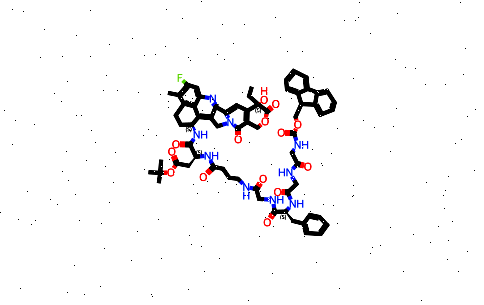 CC[C@@]1(O)C(=O)OCc2c1cc1n(c2=O)Cc2c-1nc1cc(F)c(C)c3c1c2[C@@H](NC(=O)[C@H](CC(=O)OC(C)(C)C)NC(=O)CCCNC(=O)CNC(=O)[C@H](Cc1ccccc1)NC(=O)CNC(=O)CNC(=O)OCC1c2ccccc2-c2ccccc21)CC3